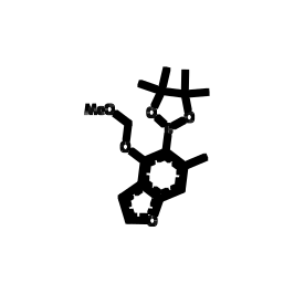 COCOc1c(B2OC(C)(C)C(C)(C)O2)c(C)cc2occc12